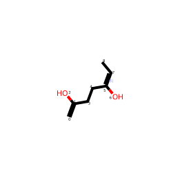 C=C(O)CC/C(O)=C\C